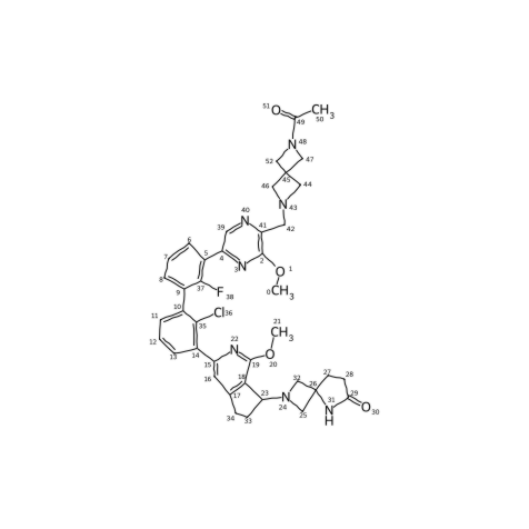 COc1nc(-c2cccc(-c3cccc(-c4cc5c(c(OC)n4)C(N4CC6(CCC(=O)N6)C4)CC5)c3Cl)c2F)cnc1CN1CC2(C1)CN(C(C)=O)C2